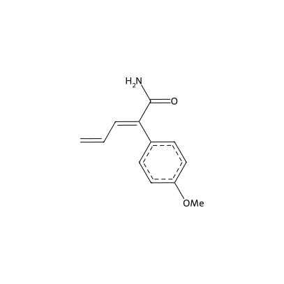 C=C/C=C(/C(N)=O)c1ccc(OC)cc1